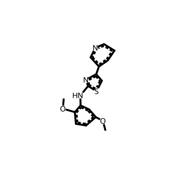 COc1ccc(OC)c(Nc2nc(-c3cccnc3)cs2)c1